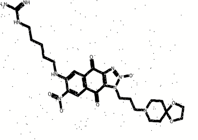 N=C(N)NCCCCCNc1cc2c(cc1[N+](=O)[O-])C(=O)c1c(n[n+]([O-])n1CCCN1CCC3(CC1)OCCO3)C2=O